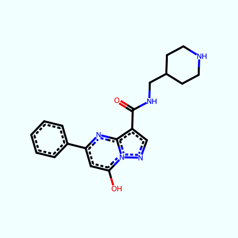 O=C(NCC1CCNCC1)c1cnn2c(O)cc(-c3ccccc3)nc12